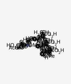 CC1(C)S[C@@H]2[C@H](NC(=O)[C@H](N)c3ccc(O)cc3)C(=O)N2[C@H]1C(=O)O.CC1(C)S[C@@H]2[C@H](NC(=O)[C@H](N)c3ccccc3)C(=O)N2[C@H]1C(=O)O.CO/N=C(/C(=O)N[C@@H]1C(=O)N2C(C(=O)O)=C(COC(C)=O)CS[C@H]12)c1csc(N)n1.COc1cccc(OC)c1C(=O)N[C@@H]1C(=O)N2[C@@H]1SC(C)(C)[C@@H]2C(=O)O